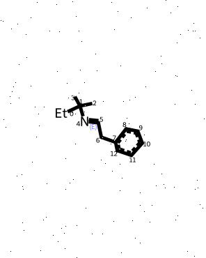 CCC(C)(C)/N=C/Cc1ccccc1